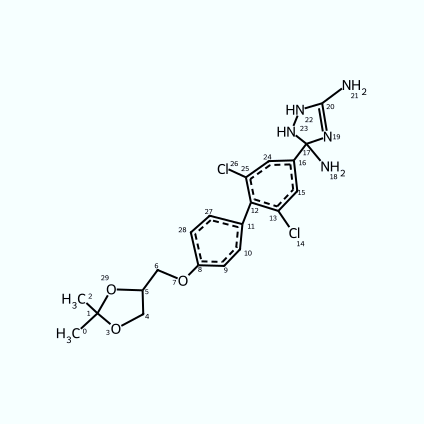 CC1(C)OCC(COc2ccc(-c3c(Cl)cc(C4(N)N=C(N)NN4)cc3Cl)cc2)O1